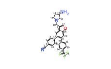 N#Cc1ccc(-c2cc3c(CN4CCC(N)C4)coc3cc2-c2ccc(C(F)(F)F)cc2)cc1